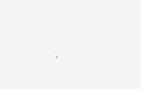 CCCCC1CCC(C2CC[C@@H](OCC)[C@H](C)C2)CC1